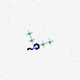 C=CC[n+]1ccccc1.F[B-](F)(F)F.F[B-](F)(F)F.F[B-](F)(F)F.F[B-](F)(F)F